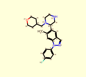 Cc1cc2c(cnn2-c2ccc(F)cc2)cc1[C@@H]1CNCCN1CC1CCOCC1